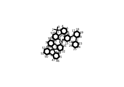 CC1(C)c2ccccc2-c2c(N(c3ccc(-c4ccccc4-c4ccccc4)cc3)c3cccc4c3-c3ccccc3C43c4ccccc4-c4ccccc43)cccc21